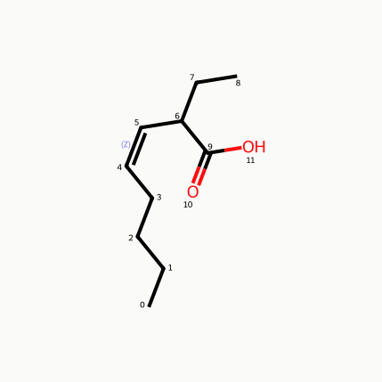 CCCC/C=C\C(CC)C(=O)O